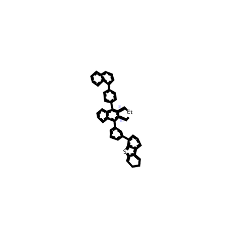 C/C=c1/c(-c2cccc(-c3cccc4c5c(sc34)=CCCC=5)c2)c2ccccc2c(-c2ccc(-c3cccc4ccccc34)cc2)/c1=C/CC